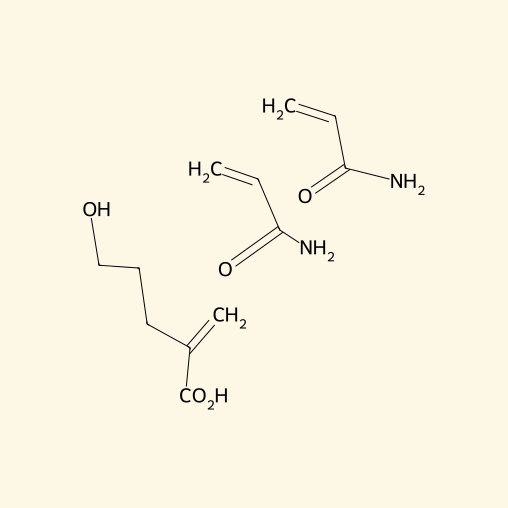 C=C(CCCO)C(=O)O.C=CC(N)=O.C=CC(N)=O